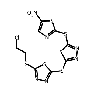 O=[N+]([O-])c1cnc(Sc2nnc(Sc3nnc(SCCCl)s3)s2)s1